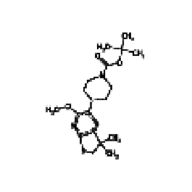 COc1nc2c(cc1C1CCN(C(=O)OC(C)(C)C)CC1)C(C)(C)CS2